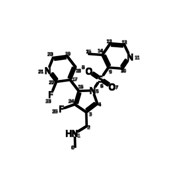 CNCc1cn(S(=O)(=O)c2cnccc2C)c(-c2cccnc2F)c1F